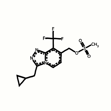 CS(=O)(=O)OCc1ccn2c(CC3CC3)nnc2c1C(F)(F)F